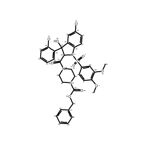 COc1ccc(S(=O)(=O)N2c3ccc(Cl)cc3C(O)(c3ccccc3Cl)C2C(=O)N2CCN(C(=O)OCc3ccccc3)CC2)cc1OC